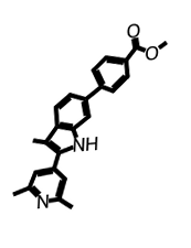 COC(=O)c1ccc(-c2ccc3c(C)c(-c4cc(C)nc(C)c4)[nH]c3c2)cc1